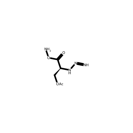 CC(=O)OC[C@H](NN=N)C(=O)ON